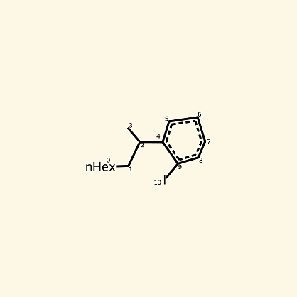 CCCCCCCC(C)c1ccccc1I